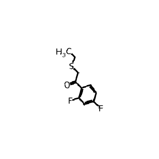 CCSCC(=O)c1ccc(F)cc1F